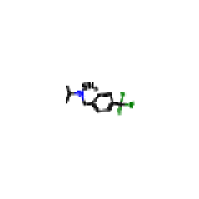 CC(C)N([SiH3])Cc1ccc(C(F)(F)F)cc1